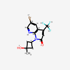 CC1(O)CC(n2c(=O)cc(C(F)(F)F)c3cc(Br)cnc32)C1